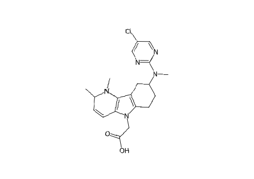 CC1C=Cc2c(c3c(n2CC(=O)O)CCC(N(C)c2ncc(Cl)cn2)C3)N1C